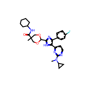 CN(c1nccc(-c2[nH]c(C3OCC(C)(C(=O)NC4CCCCC4)CO3)nc2-c2ccc(F)cc2)n1)C1CC1